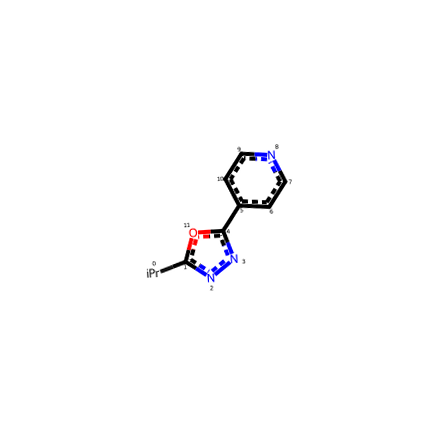 CC(C)c1nnc(-c2ccncc2)o1